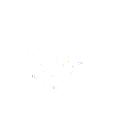 CC1C(C(=O)C(N)=O)c2c(OC(F)C(N)=O)cccc2N1Cc1ccccc1